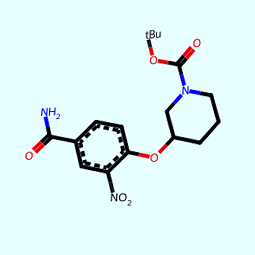 CC(C)(C)OC(=O)N1CCCC(Oc2ccc(C(N)=O)cc2[N+](=O)[O-])C1